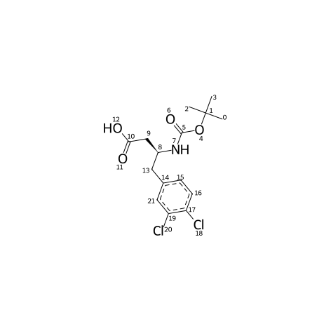 CC(C)(C)OC(=O)N[C@H](CC(=O)O)Cc1ccc(Cl)c(Cl)c1